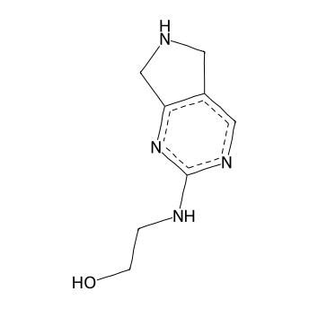 OCCNc1ncc2c(n1)CNC2